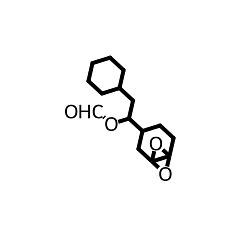 O=COC(CC1CCCCC1)C1CCC23OC2(C1)O3